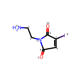 NCCN1C(=O)C=C(I)C1=O